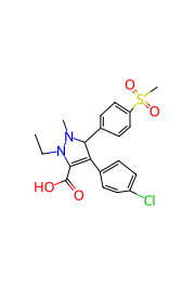 CCN1C(C(=O)O)=C(c2ccc(Cl)cc2)C(c2ccc(S(C)(=O)=O)cc2)N1C